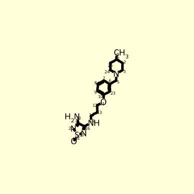 CC1CCN(Cc2cccc(OCCCNc3n[s+]([O-])nc3N)c2)CC1